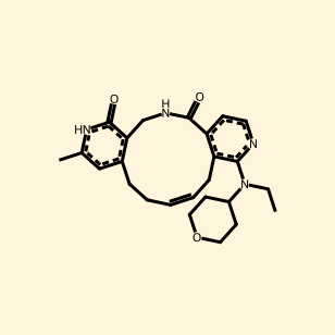 CCN(c1nccc2c1CC=CCCc1cc(C)[nH]c(=O)c1CNC2=O)C1CCOCC1